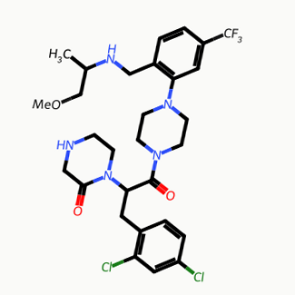 COCC(C)NCc1ccc(C(F)(F)F)cc1N1CCN(C(=O)C(Cc2ccc(Cl)cc2Cl)N2CCNCC2=O)CC1